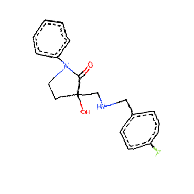 O=C1N(c2ccccc2)CCC1(O)CNCc1ccc(F)cc1